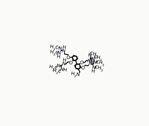 C/N=C(\NC)NCCOc1cccc(-c2ccc(CN)c(OCCN/C(=N/C)NC)c2OCCN/C(=N/C)NC)c1OCCN/C(=N/C)NC